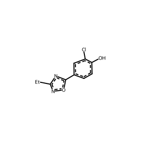 CCc1noc(-c2ccc(O)c(Cl)c2)n1